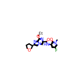 CCOc1nc(C(=O)Nc2cc(F)cn(C)c2=O)cn2cc([C@@H]3CCCOC3)nc12